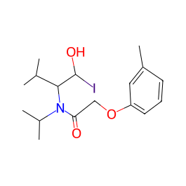 Cc1cccc(OCC(=O)N(C(C)C)C(C(C)C)C(O)I)c1